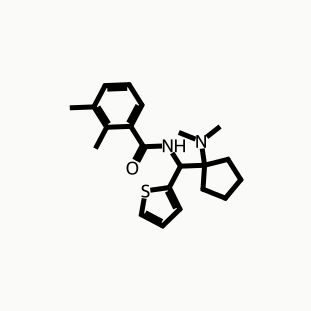 Cc1cccc(C(=O)NC(c2cccs2)C2(N(C)C)CCCC2)c1C